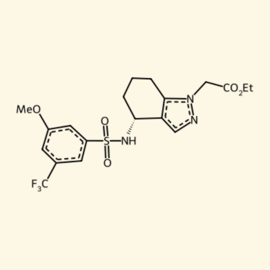 CCOC(=O)Cn1ncc2c1CCC[C@H]2NS(=O)(=O)c1cc(OC)cc(C(F)(F)F)c1